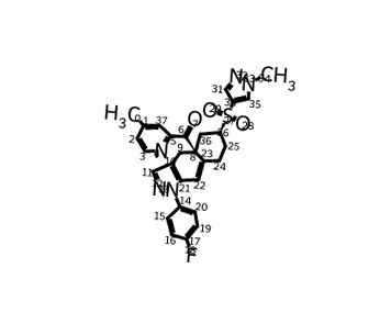 Cc1ccnc(C(=O)[C@]23Cc4cnn(-c5ccc(F)cc5)c4C=C2CC[C@H](S(=O)(=O)c2cnn(C)c2)C3)c1